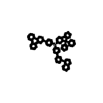 c1ccc(C2(c3ccccc3)c3ccccc3-c3ccc(N(c4ccc(-c5cccc(-c6cccc7ccccc67)c5)cc4)c4ccc(-c5ccc6c7ccccc7c7ccccc7c6c5)cc4)cc32)cc1